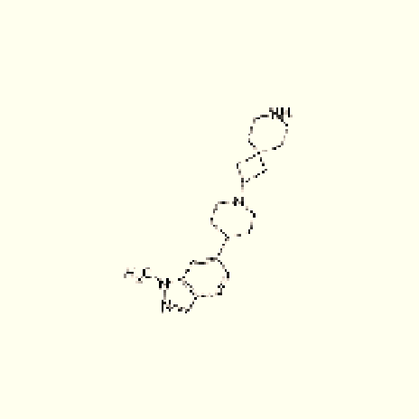 Cn1ncc2ccc(C3CCN(C4CC5(CCNCC5)C4)CC3)cc21